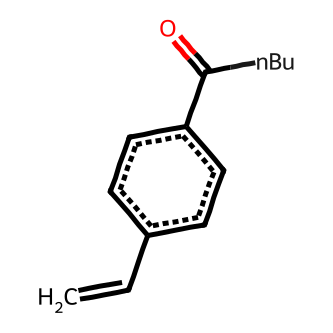 C=Cc1ccc(C(=O)CCCC)cc1